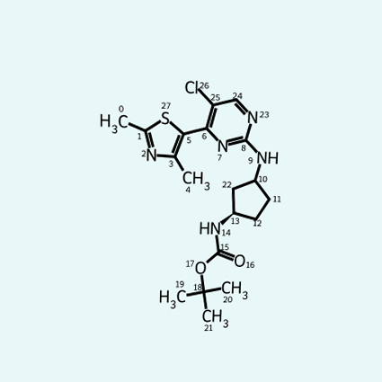 Cc1nc(C)c(-c2nc(NC3CC[C@@H](NC(=O)OC(C)(C)C)C3)ncc2Cl)s1